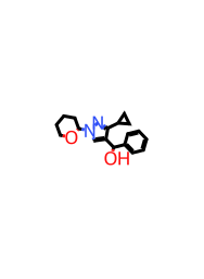 OC(c1ccccc1)c1cn(C2CCCCO2)nc1C1CC1